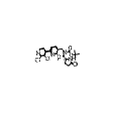 COc1nc(-c2ccnc(Cl)c2Cl)ccc1CN(C[C@@H]1CCC(=O)N1)C(=O)OC(C)(C)C